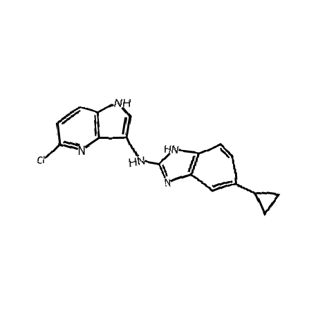 Clc1ccc2[nH]cc(Nc3nc4cc(C5CC5)ccc4[nH]3)c2n1